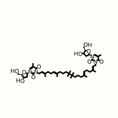 C/C(=C\Cn1c(=O)c(C)cn([C@H]2CC(O)[C@@H](CO)O2)c1=O)CC/C=C(\C)CCCC(C)(C)C(C)(C)CCC/C(C)=C/CC/C(C)=C/Cn1c(=O)c(C)cn([C@H]2CC(O)[C@@H](CO)O2)c1=O